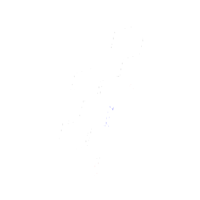 O=Cc1cccc2c1nnc1c(C(=O)C3CCCCC3)cccc12